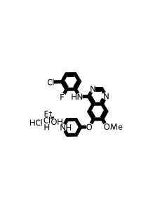 CCO.COc1cc2ncnc(Nc3cccc(Cl)c3F)c2cc1OC1CCNCC1.Cl.Cl